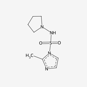 Cc1nccn1S(=O)(=O)NN1CCCC1